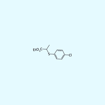 CCOC(=O)C(C)Sc1ccc(Cl)cc1